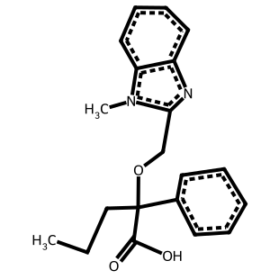 CCCC(OCc1nc2ccccc2n1C)(C(=O)O)c1ccccc1